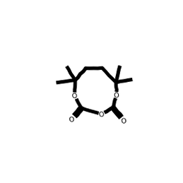 CC1(C)CCC(C)(C)OC(=O)OC(=O)O1